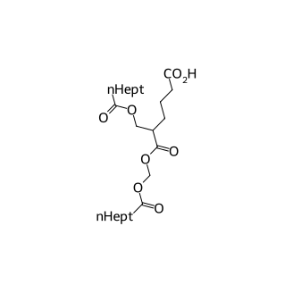 CCCCCCCC(=O)OCOC(=O)C(CCCC(=O)O)COC(=O)CCCCCCC